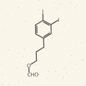 O=[C]OCCCc1ccc(I)c(I)c1